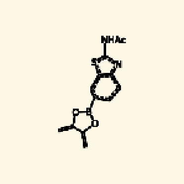 C=C1OB(c2ccc3nc(NC(C)=O)sc3c2)OC1=C